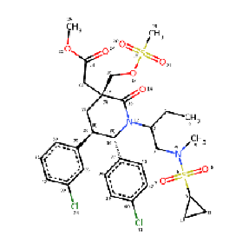 CCC(CN(C)S(=O)(=O)C1CC1)N1C(=O)[C@@](COS(C)(=O)=O)(CC(=O)OC)C[C@H](c2cccc(Cl)c2)[C@H]1c1ccc(Cl)cc1